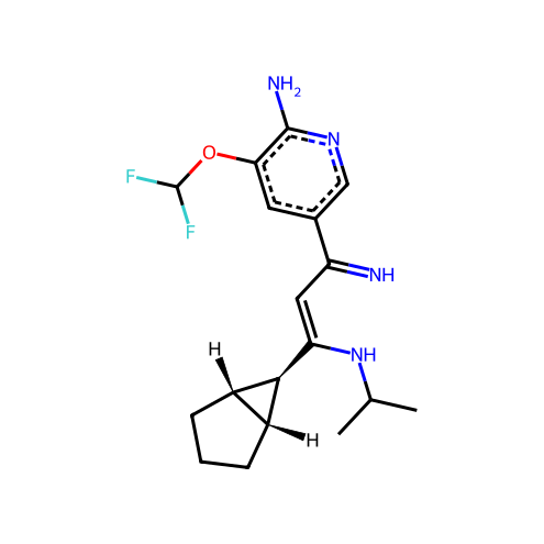 CC(C)N/C(=C\C(=N)c1cnc(N)c(OC(F)F)c1)[C@H]1[C@@H]2CCC[C@@H]21